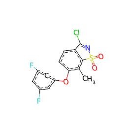 Cc1c(Oc2cc(F)cc(F)c2)ccc2c1S(=O)(=O)N=C2Cl